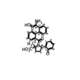 C[C@@]1(C(=O)O)CC[C@H](c2ccccc2Cl)N1C(=O)c1ccccc1-c1ccccc1C(N)=NO